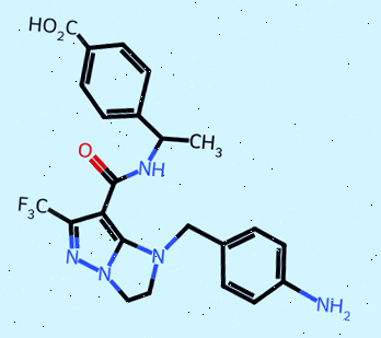 CC(NC(=O)c1c(C(F)(F)F)nn2c1N(Cc1ccc(N)cc1)CC2)c1ccc(C(=O)O)cc1